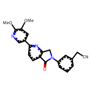 COc1cc(-c2ccc3c(n2)CN(c2cccc(CC#N)c2)C3=O)cnc1OC